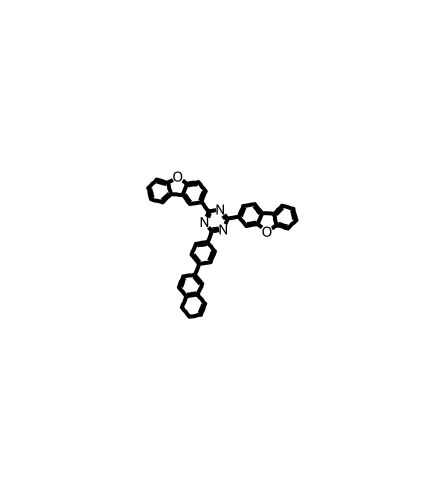 C1=Cc2cc(-c3ccc(-c4nc(-c5ccc6c(c5)oc5ccccc56)nc(-c5ccc6oc7ccccc7c6c5)n4)cc3)ccc2CC1